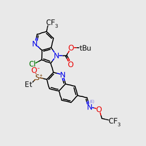 CC[S+]([O-])c1cc2ccc(/C=N/OCC(F)(F)F)cc2nc1-c1c(Cl)c2ncc(C(F)(F)F)cc2n1C(=O)OC(C)(C)C